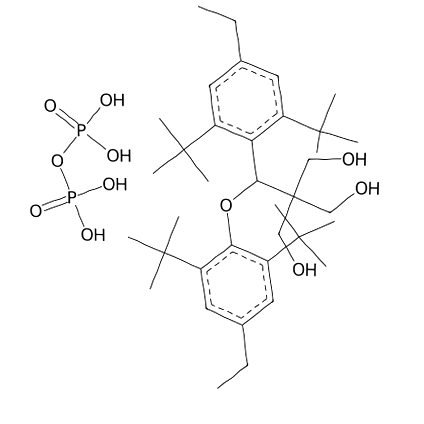 CCc1cc(C(C)(C)C)c(OC(c2c(C(C)(C)C)cc(CC)cc2C(C)(C)C)C(CO)(CO)CO)c(C(C)(C)C)c1.O=P(O)(O)OP(=O)(O)O